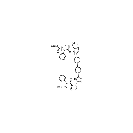 COC(=O)N[C@@H](C(=O)N(C)[C@@H](C)c1ncc(-c2ccc(-c3ccc(-c4cnc([C@@H]5CCCN5C(=O)[C@@H](c5ccccc5)N(C)C(=O)O)[nH]4)cc3)cc2)[nH]1)c1ccccc1